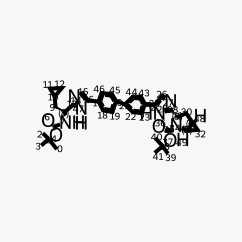 CC(C)(C)OC(=O)N[C@@H](CC1CC1)c1ncc(-c2ccc(-c3ccc(-c4cnc([C@@H]5C[C@H]6C[C@H]6N5C(=O)OC(C)(C)C)[nH]4)cc3)cc2)[nH]1